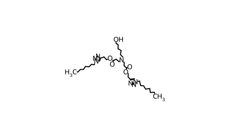 CCCCCCCCn1cc(CCOC(=O)CCN(CCCCCCO)CCC(=O)OCCc2cn(CCCCCCCC)nn2)nn1